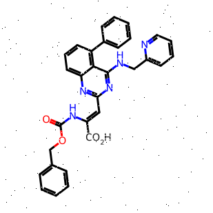 O=C(NC(=Cc1nc(NCc2ccccn2)c2c(-c3ccccc3)cccc2n1)C(=O)O)OCc1ccccc1